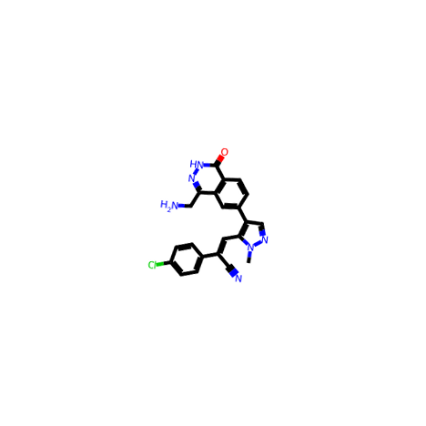 Cn1ncc(-c2ccc3c(=O)[nH]nc(CN)c3c2)c1/C=C(\C#N)c1ccc(Cl)cc1